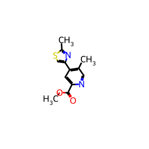 COC(=O)c1cc(-c2csc(C)n2)c(C)cn1